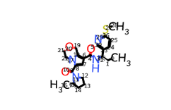 CC[C@@H](NC(=O)c1cc(C(=O)N2CCC[C@@H]2C)n2c1COCC2)c1ccc(SC)nc1